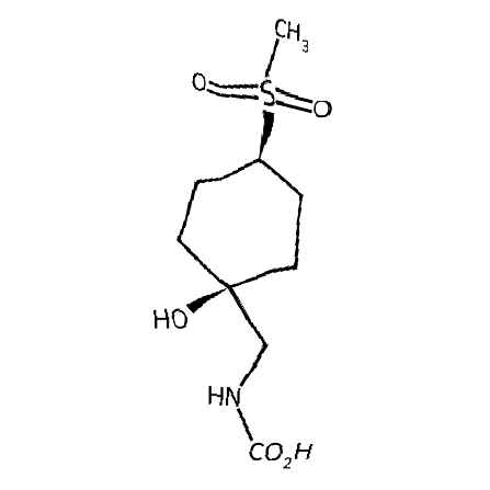 CS(=O)(=O)[C@H]1CC[C@](O)(CNC(=O)O)CC1